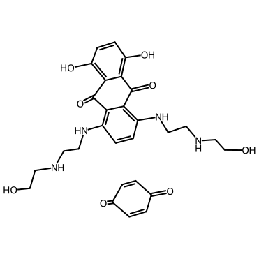 O=C1C=CC(=O)C=C1.O=C1c2c(O)ccc(O)c2C(=O)c2c(NCCNCCO)ccc(NCCNCCO)c21